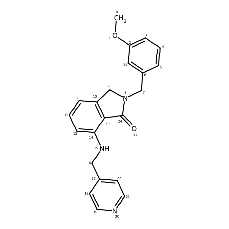 COc1cccc(CN2Cc3cccc(NCc4ccncc4)c3C2=O)c1